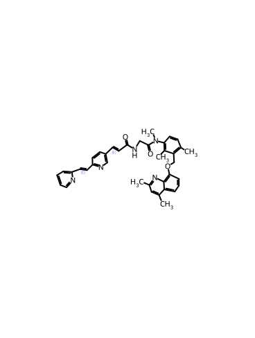 Cc1cc(C)c2cccc(OCc3c(C)ccc(N(C)C(=O)CNC(=O)/C=C/c4ccc(/C=C/c5ccccn5)nc4)c3C)c2n1